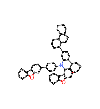 c1ccc(-c2ccc(-c3cccc4c3ccc3ccccc34)cc2N(c2ccc(-c3ccc4c(c3)oc3ccccc34)cc2)c2cccc3oc4ccccc4c23)cc1